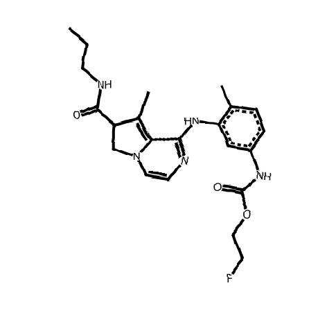 CCCNC(=O)C1CN2C=CN=C(Nc3cc(NC(=O)OCCF)ccc3C)C2=C1C